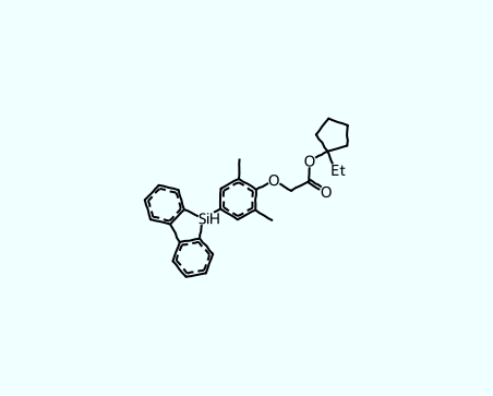 CCC1(OC(=O)COc2c(C)cc([SiH]3c4ccccc4-c4ccccc43)cc2C)CCCC1